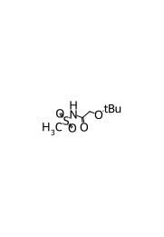 CC(C)(C)OCC(=O)NS(C)(=O)=O